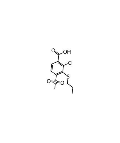 CCCSc1c(S(C)(=O)=O)ccc(C(=O)O)c1Cl